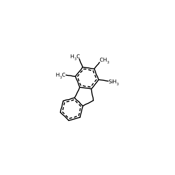 Cc1c(C)c([SiH3])c2c(c1C)-c1ccccc1C2